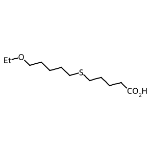 CCOCCCCCSCCCCC(=O)O